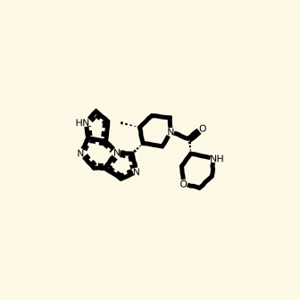 C[C@@H]1CCN(C(=O)[C@H]2COCCN2)C[C@@H]1c1ncc2cnc3[nH]ccc3n12